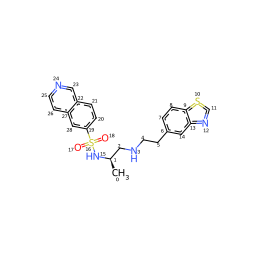 C[C@H](CNCCc1ccc2scnc2c1)NS(=O)(=O)c1ccc2cnccc2c1